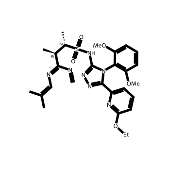 C=N/C(=N\C=C(C)C)[C@@H](C)[C@H](C)S(=O)(=O)Nc1nnc(-c2cccc(OCC)n2)n1-c1c(OC)cccc1OC